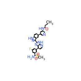 CCCC(=O)Nc1cncc(-c2ccc3[nH]nc(-c4nc5c(-c6cc(F)cc(C(N)S(C)(=O)=O)c6)ccnc5[nH]4)c3c2)c1